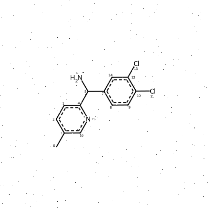 Cc1ccc(C(N)c2ccc(Cl)c(Cl)c2)nc1